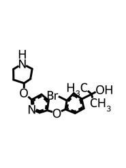 CC(C)(O)c1ccc(Oc2ccc(OC3CCNCC3)nc2)c(Br)c1